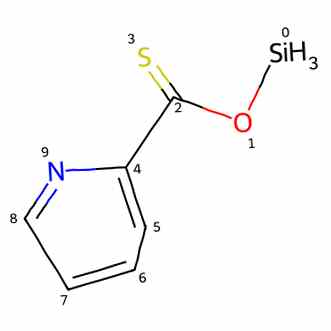 [SiH3]OC(=S)c1ccccn1